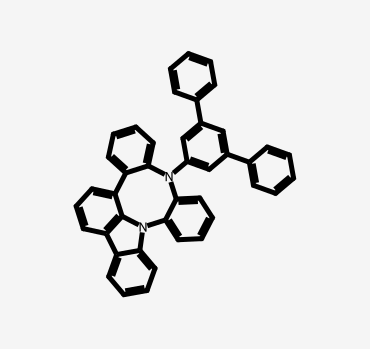 c1ccc(-c2cc(-c3ccccc3)cc(-n3c4ccccc4c4cccc5c6ccccc6n(c6ccccc63)c45)c2)cc1